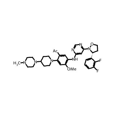 COc1cc(N2CCC(N3CCN(C)CC3)CC2)c(C(C)=O)cc1Nc1cc(N2OCC[C@@H]2c2cccc(F)c2F)ncn1